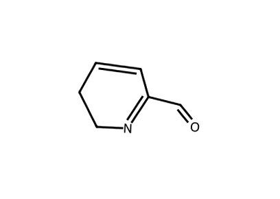 O=CC1=NCCC=C1